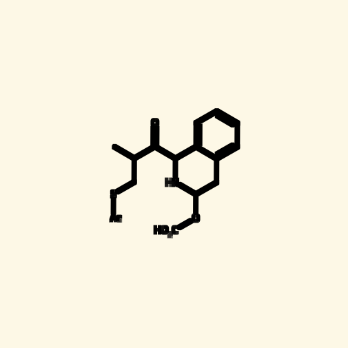 CC(=O)SCC(C)C(=O)C1NC(OC(=O)O)Cc2ccccc21